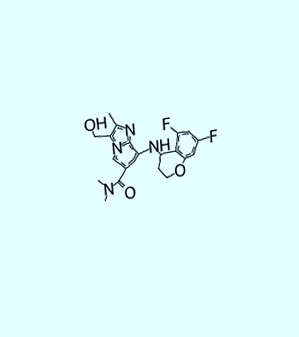 Cc1nc2c(NC3CCOc4cc(F)cc(F)c43)cc(C(=O)N(C)C)cn2c1CO